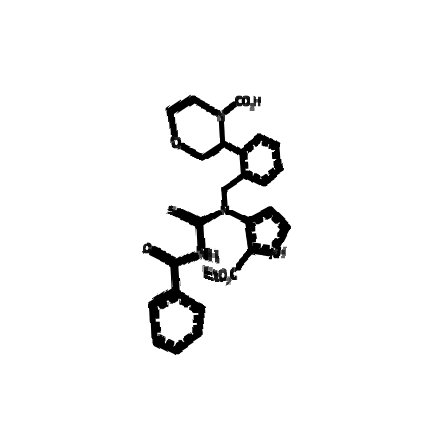 CCOC(=O)c1[nH]ccc1N(Cc1ccccc1C1COCCN1C(=O)O)C(=S)NC(=O)c1ccccc1